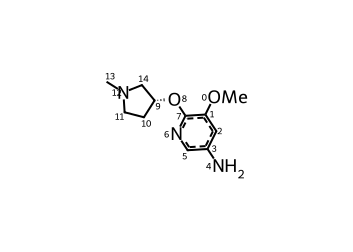 COc1cc(N)cnc1O[C@@H]1CCN(C)C1